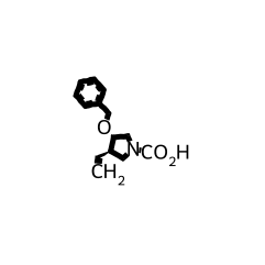 C=C[C@@H]1CN(C(=O)O)C[C@H]1OCc1ccccc1